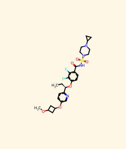 CC[C@@H](Oc1ccc(C(=O)NS(=O)(=O)N2CCN(C3CC3)CC2)c(F)c1F)c1ccc(OC2CC(OC)C2)cn1